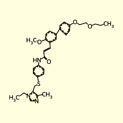 CCCOCCOc1ccc(-c2ccc(OC)c(/C=C/C(=O)Nc3ccc(SCc4c(C)ncn4CC)cc3)c2)cc1